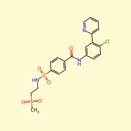 CS(=O)(=O)CCNS(=O)(=O)c1ccc(C(=O)Nc2ccc(Cl)c(-c3ccccn3)c2)cc1